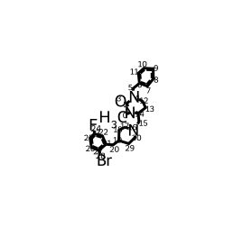 CN1C(=O)N(Cc2ccccc2)CCC1CN1CCC(Cc2cc(F)ccc2Br)CC1